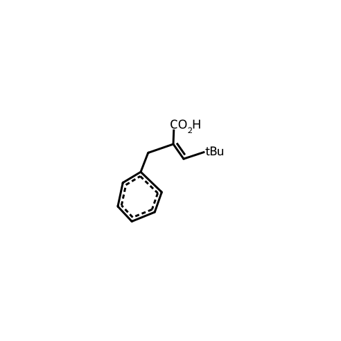 CC(C)(C)C=C(Cc1ccccc1)C(=O)O